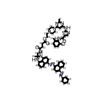 Cc1nc(Nc2ncc(C(=O)Nc3c(C)cccc3Cl)s2)cc(N2CCN(CCOC(=O)CCC(=O)OCC3(C)Nc4cccc5c(/N=N/c6ccc(/N=N/c7ccccc7)c7ccccc67)ccc(c45)N3)CC2)n1